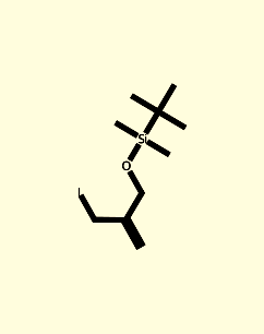 C=C(CI)CO[Si](C)(C)C(C)(C)C